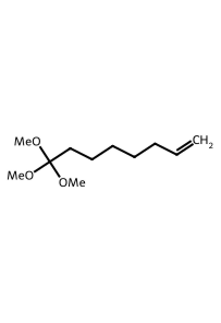 C=CCCCCCC(OC)(OC)OC